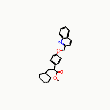 COC(=O)C(CC1CCCCC1)c1ccc(OCc2ccc3ccccc3n2)cc1